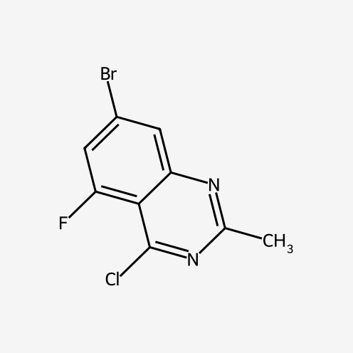 Cc1nc(Cl)c2c(F)cc(Br)cc2n1